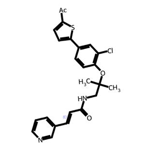 CC(=O)c1ccc(-c2ccc(OC(C)(C)CNC(=O)/C=C/c3cccnc3)c(Cl)c2)s1